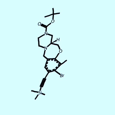 Cc1c(Br)c(C#C[Si](C)(C)C)cc2c1OC[C@H]1CN(C(=O)OC(C)(C)C)CCN1C2